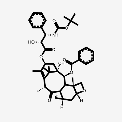 CC1=C2[C@@H](C)C(=O)[C@]34C[C@H]3C[C@H]3OC[C@@]3(C)C4[C@H](OC(=O)c3ccccc3)[C@](O)(C[C@@H]1OC(=O)[C@H](O)[C@@H](NC(=O)OC(C)(C)C)c1ccccc1)C2(C)C